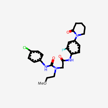 COCCN(CC(=O)Nc1ccc(N2CCCCC2=O)cc1F)C(=O)Nc1ccc(Cl)cc1